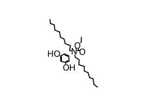 CCCCCCCCCCN(CCCCCCCCCC)C(=O)OCC.Oc1cccc(O)c1